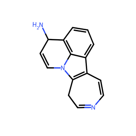 NC1C=Cn2c3c(c4cccc1c42)C=CN=CC3